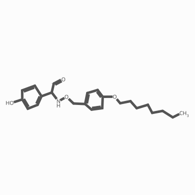 CCCCCCCCOc1ccc(CONC([C]=O)c2ccc(O)cc2)cc1